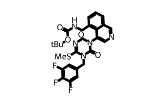 CSc1nc(=O)n(-c2cncc3cccc(CNC(=O)OC(C)(C)C)c23)c(=O)n1Cc1cc(F)c(F)c(F)c1